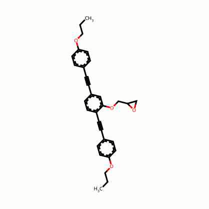 CCCOc1ccc(C#Cc2ccc(C#Cc3ccc(OCCC)cc3)c(OCC3CO3)c2)cc1